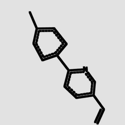 C=Cc1ccc(-c2ccc(C)cc2)nc1